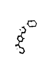 Oc1cc(-c2cnn3ccccc23)ccc1-c1ccc(O[C@@H]2C[C@H]3CCC[C@H](N3)[C@@H]2F)nn1